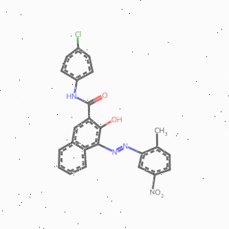 Cc1ccc([N+](=O)[O-])cc1N=Nc1c(O)c(C(=O)Nc2ccc(Cl)cc2)cc2ccccc12